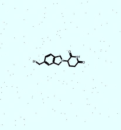 O=C1CCC(N2Cc3ccc(CBr)cc3C2)C(=O)N1